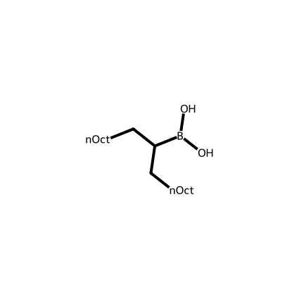 CCCCCCCCCC(CCCCCCCCC)B(O)O